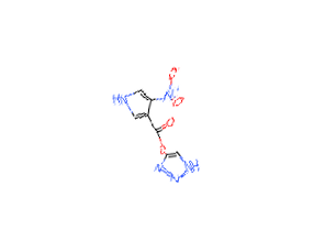 O=C(Oc1c[nH]nn1)c1c[nH]cc1[N+](=O)[O-]